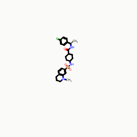 C[C@@H](NC(=O)C1CCC(NS(=O)(=O)c2ccc3c(c2)N(C)CCC3)CC1)c1ccc(F)cc1